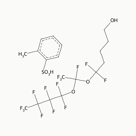 Cc1ccccc1S(=O)(=O)O.OCCCCC(F)(F)OC(F)(OC(F)(F)C(F)(F)C(F)(F)C(F)(F)F)C(F)(F)F